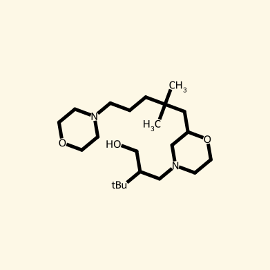 CC(C)(CCCN1CCOCC1)CC1CN(CC(CO)C(C)(C)C)CCO1